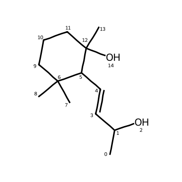 CC(O)C=CC1C(C)(C)CCCC1(C)O